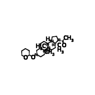 CC(=O)[C@H]1CC[C@@H]2[C@]1(C)CC[C@H]1[C@@]2(C)CC=C2C[C@@H](OC3CCCCO3)CC[C@@]21C